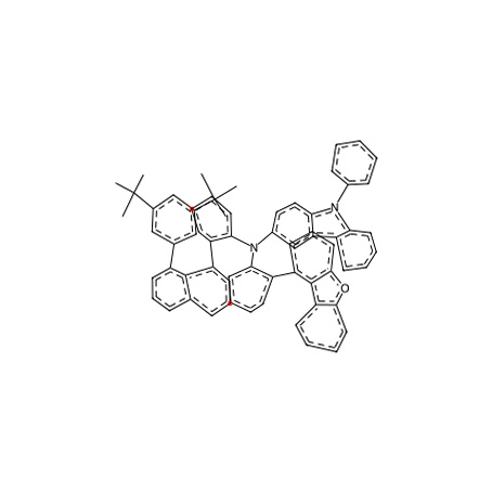 CC(C)(C)c1cc(-c2cccc3cccc(-c4ccccc4N(c4ccc5c(c4)c4ccccc4n5-c4ccccc4)c4ccccc4-c4cccc5oc6ccccc6c45)c23)cc(C(C)(C)C)c1